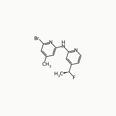 Cc1cc(Br)nc(Nc2cc([C@H](C)F)ccn2)c1